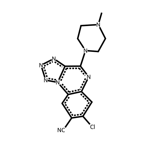 CN1CCN(c2nc3cc(Cl)c(C#N)cc3n3nnnc23)CC1